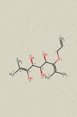 C=CCOC(=C(C)C)[C@H](O)[C@@H](O)[C@H](O)C(O)=C(C)C